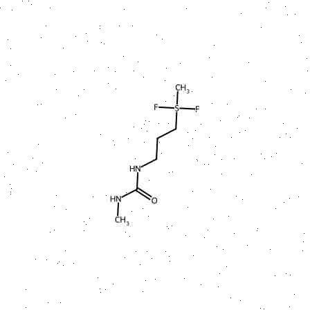 CNC(=O)NCCCS(C)(F)F